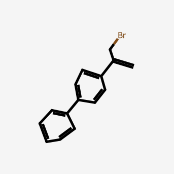 C=C(CBr)c1ccc(-c2ccccc2)cc1